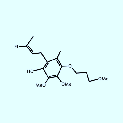 CC/C(C)=C/Cc1c(C)c(OCCCOC)c(OC)c(OC)c1O